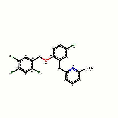 O=C(O)c1cccc(Cc2cc(Cl)ccc2OCc2cc(F)c(F)cc2F)n1